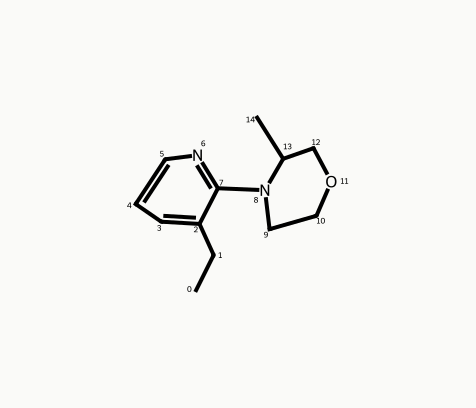 CCc1cccnc1N1CCOCC1C